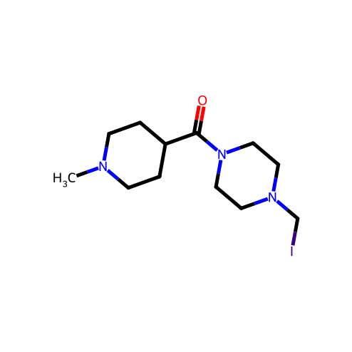 CN1CCC(C(=O)N2CCN(CI)CC2)CC1